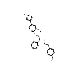 Cl.Cl.Cn1cc(-c2cnc3c(c2)NC[C@@H]([C@H](NCCc2ccc(CN)cc2)c2ccccc2)O3)cn1